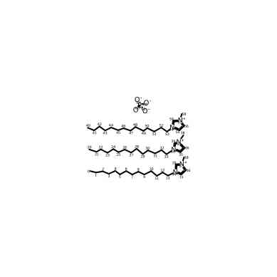 CCCCCCCCCCCCCCn1cc[n+](C)c1.CCCCCCCCCCCCCCn1cc[n+](C)c1.CCCCCCCCCCCCCCn1cc[n+](C)c1.O=P([O-])([O-])[O-]